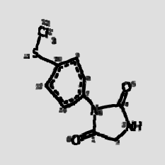 O=C1CNC(=O)N1c1ccc(SC(F)(F)F)cc1